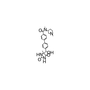 CN1CCC(N(C)C(=O)c2ccc(-c3ccc(C(O)C4(C)NC(=O)NC4=O)cc3)cc2)C1